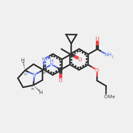 COCCOc1cc(C(=O)N[C@H]2C[C@H]3CC[C@@H](C2)N3c2ccc(C(=O)C3CC3)cn2)c(C)cc1C(N)=O